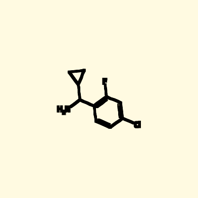 NC(c1ccc(Cl)cc1F)C1CC1